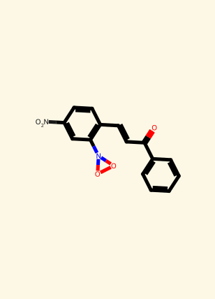 O=C(/C=C/c1ccc([N+](=O)[O-])cc1-n1oo1)c1ccccc1